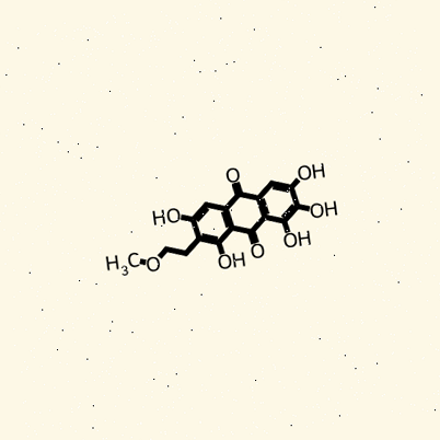 COCCc1c(O)cc2c(c1O)C(=O)c1c(cc(O)c(O)c1O)C2=O